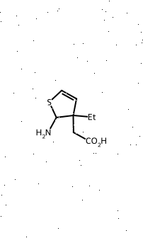 CCC1(CC(=O)O)C=CSC1N